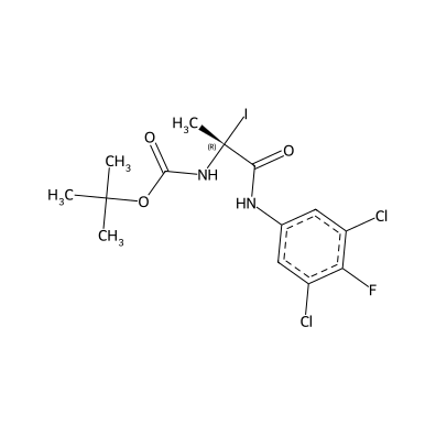 CC(C)(C)OC(=O)N[C@](C)(I)C(=O)Nc1cc(Cl)c(F)c(Cl)c1